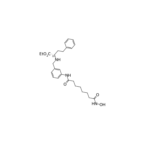 CCOC(=O)[C@H](CCc1ccccc1)NCc1cccc(NC(=O)CCCCCCC(=O)NO)c1